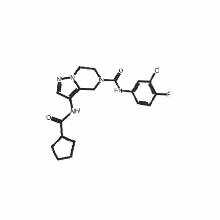 O=C(Nc1cnn2c1CN(C(=O)Nc1ccc(F)c(Cl)c1)CC2)C1CCCC1